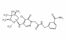 C[C@@H]1[C@@H](C)C(C)(C)[C@@H](C)C[C@H]1Nc1cnn(CC(=O)NCc2cccc(C(N)=O)c2)c(=O)c1Cl